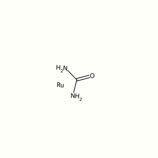 NC(N)=O.[Ru]